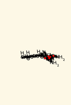 CCCCCCCCN(CCC[C@@H](C)[C@H]1CC[C@H]2[C@@H]3[C@H](OCN)C[C@@H]4C[C@H](OCCCN)CC[C@]4(C)[C@H]3C[C@H](OCCCN)[C@]12C)C(=O)NCCOCCOCCOCCNC(=O)CCCC[SiH2]C